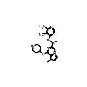 Cc1ccn2nc([C@H](C)Nc3ncnc(N)c3C#N)nc(OC3CCNCC3)c12